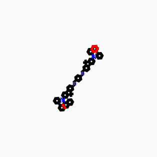 CC1(C)c2cc(/C=C/c3ccc(/C=C/c4ccc5c(c4)C(C)(C)c4cc(N(c6ccccc6-c6ccccc6)c6cccc7ccccc67)ccc4-5)cc3)ccc2-c2ccc(N(c3ccccc3-c3ccccc3)c3cccc4ccccc34)cc21